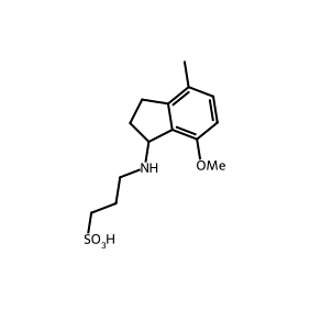 COc1ccc(C)c2c1C(NCCCS(=O)(=O)O)CC2